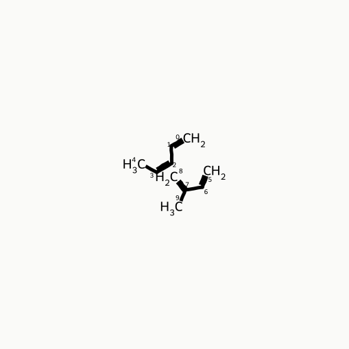 C=C/C=C\C.C=CC(=C)C